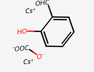 O=C([O-])[O-].O=Cc1ccccc1O.[Cs+].[Cs+]